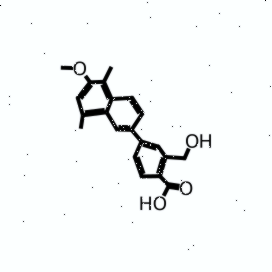 COc1cc(C)c2cc(-c3ccc(C(=O)O)c(CO)c3)ccc2c1C